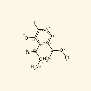 Cc1ncc(C(N)[O][Pt])c(C(=O)ON)c1O